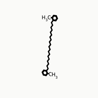 Cc1ccccc1CCCCCCCCCCCCCCCCCCCCc1ccccc1C